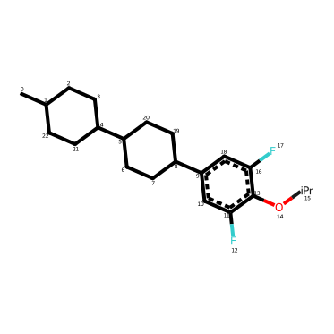 CC1CCC(C2CCC(c3cc(F)c(OC(C)C)c(F)c3)CC2)CC1